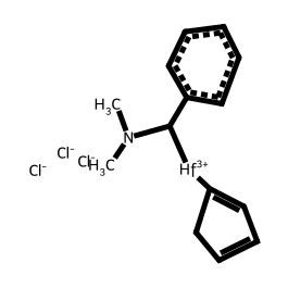 CN(C)[CH]([Hf+3][C]1=CC=CC1)c1ccccc1.[Cl-].[Cl-].[Cl-]